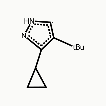 CC(C)(C)c1[c][nH]nc1C1CC1